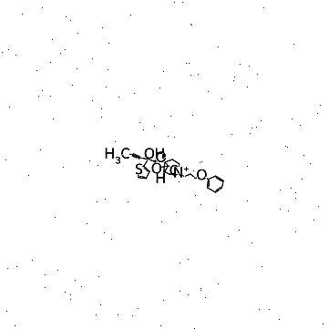 CC#CC(O)(C(=O)O[C@H]1C[N+]2(CCCOc3ccccc3)CCC1CC2)c1cccs1